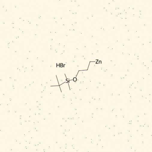 Br.CC(C)(C)[Si](C)(C)OCC[CH2][Zn]